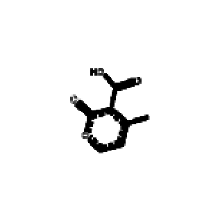 Cc1ccoc(=O)c1C(=O)O